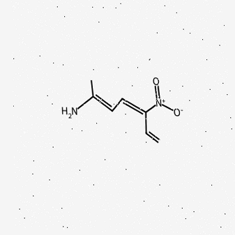 C=C/C(=C\C=C(/C)N)[N+](=O)[O-]